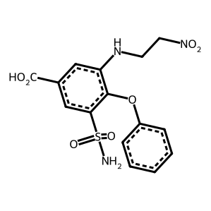 NS(=O)(=O)c1cc(C(=O)O)cc(NCC[N+](=O)[O-])c1Oc1ccccc1